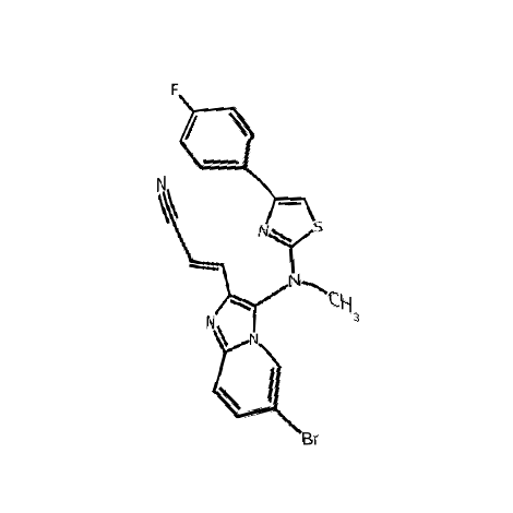 CN(c1nc(-c2ccc(F)cc2)cs1)c1c(C=CC#N)nc2ccc(Br)cn12